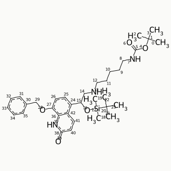 CC(C)(C)OC(=O)NCCCCCNCC(O[Si](C)(C)C(C)(C)C)c1ccc(OCc2ccccc2)c2[nH]c(=O)ccc12